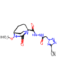 N#Cc1nnn(CC(=O)NNC(=O)C2CCC3CN2C(=O)N3OS(=O)(=O)O)n1